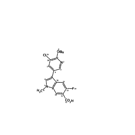 CC(C)COc1ncc(-c2cn(C)c3cc(C(=O)O)c(F)cc23)cc1Cl